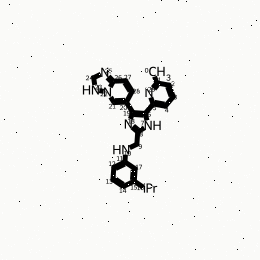 Cc1cccc(-c2[nH]c(CNc3cccc(C(C)C)c3)nc2C2=CN3NCN=C3C=C2)n1